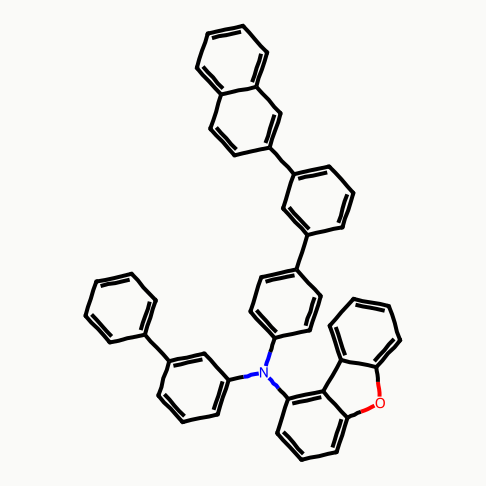 c1ccc(-c2cccc(N(c3ccc(-c4cccc(-c5ccc6ccccc6c5)c4)cc3)c3cccc4oc5ccccc5c34)c2)cc1